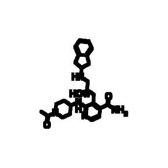 CC(=O)N1CCC(Nc2nccc(C(N)=O)c2C[C@H](O)CNC2Cc3ccccc3C2)CC1